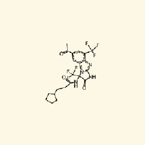 CC(=O)c1cc(C(F)(F)F)c2nc3n(c2c1)C(NC(=O)CCC1CCCC1)(C(F)(F)F)C(=O)N3